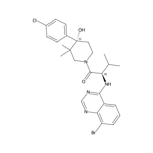 CC(C)[C@@H](Nc1ncnc2c(Br)cccc12)C(=O)N1CC[C@](O)(c2ccc(Cl)cc2)C(C)(C)C1